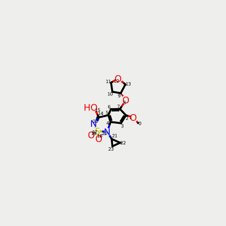 COc1cc2c(cc1O[C@H]1CCOC1)C(O)=NS(=O)(=O)N2C1CC1